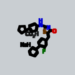 O=C1N=C(Nc2ccc(C3(C(=O)O)CCCC3)cc2)SC1=Cc1ccc(-c2ccccc2)c(F)c1.[NaH]